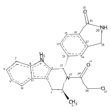 C[C@H]1Cc2c([nH]c3ccccc23)[C@H](c2ccc3c(c2)CNC3=O)N1C(=O)CCl